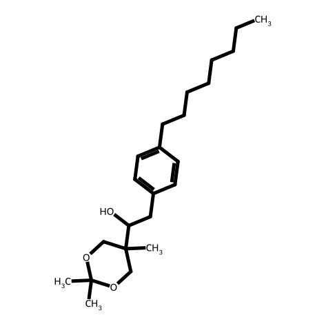 CCCCCCCCc1ccc(CC(O)C2(C)COC(C)(C)OC2)cc1